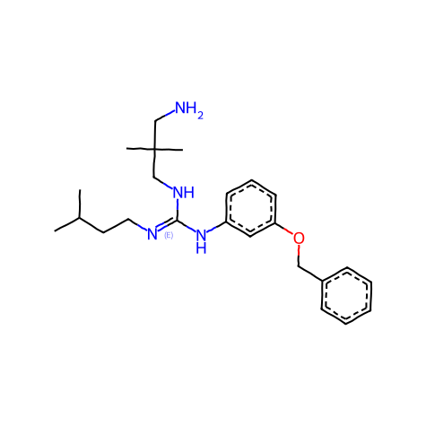 CC(C)CC/N=C(\NCC(C)(C)CN)Nc1cccc(OCc2ccccc2)c1